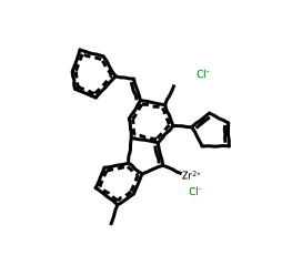 Cc1ccc2c(c1)[C]([Zr+2])=c1c-2cc(=Cc2ccccc2)c(C)c1C1=CC=CC1.[Cl-].[Cl-]